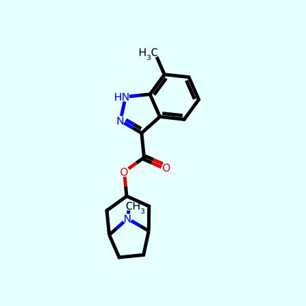 Cc1cccc2c(C(=O)OC3CC4CCC(C3)N4C)n[nH]c12